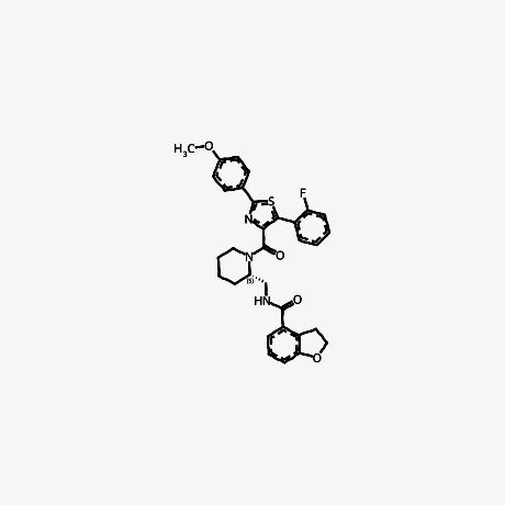 COc1ccc(-c2nc(C(=O)N3CCCC[C@H]3CNC(=O)c3cccc4c3CCO4)c(-c3ccccc3F)s2)cc1